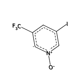 [O-][n+]1[c]c(C(F)(F)F)cc(I)c1